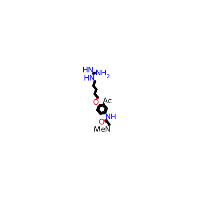 CNCC(=O)Nc1ccc(OCCCCCNC(=N)N)c(C(C)=O)c1